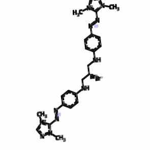 Cn1nc[n+](C)c1/N=N/c1ccc(NCCCNc2ccc(/N=N/c3n(C)nc[n+]3C)cc2)cc1.[Br-].[Br-]